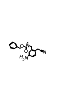 CN(Cc1cc(N)ccc1CC#N)C(=O)OCc1ccccc1